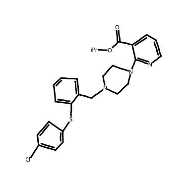 CC(C)OC(=O)c1cccnc1N1CCN(Cc2ccccc2Sc2ccc(Cl)cc2)CC1